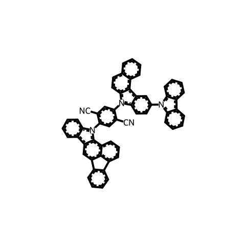 N#Cc1cc(-n2c3ccccc3c3cc4c5c(cccc5c32)-c2ccccc2-4)c(C#N)cc1-n1c2ccc(-n3c4ccccc4c4ccccc43)cc2c2c3ccccc3ccc21